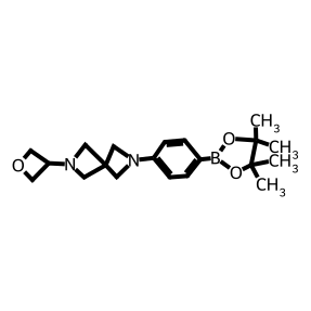 CC1(C)OB(c2ccc(N3CC4(C3)CN(C3COC3)C4)cc2)OC1(C)C